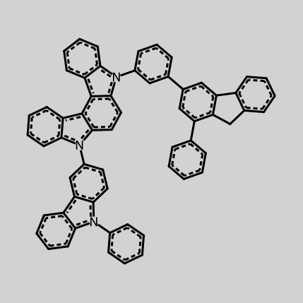 c1ccc(-c2cc(-c3cccc(-n4c5ccccc5c5c6c7ccccc7n(-c7ccc8c(c7)c7ccccc7n8-c7ccccc7)c6ccc54)c3)cc3c2Cc2ccccc2-3)cc1